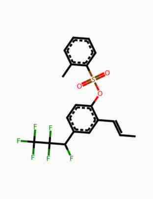 CC=Cc1cc(C(F)C(F)(F)C(F)(F)F)ccc1OS(=O)(=O)c1ccccc1C